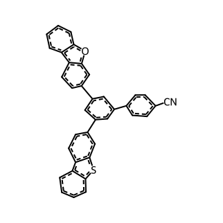 N#Cc1ccc(-c2cc(-c3ccc4c(c3)oc3ccccc34)cc(-c3ccc4c(c3)sc3ccccc34)c2)cc1